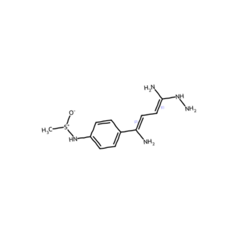 C[S+]([O-])Nc1ccc(/C(N)=C/C=C(\N)NN)cc1